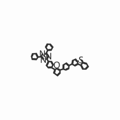 c1ccc(-c2nc(-c3ccccc3)nc(-c3ccc4c(c3)oc3c(-c5ccc(-c6ccc7sc8ccccc8c7c6)cc5)cccc34)n2)cc1